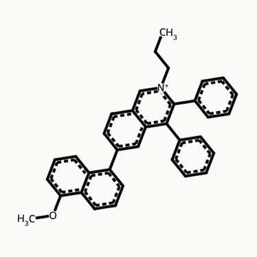 CCC[n+]1cc2ccc(-c3cccc4c(OC)cccc34)cc2c(-c2ccccc2)c1-c1ccccc1